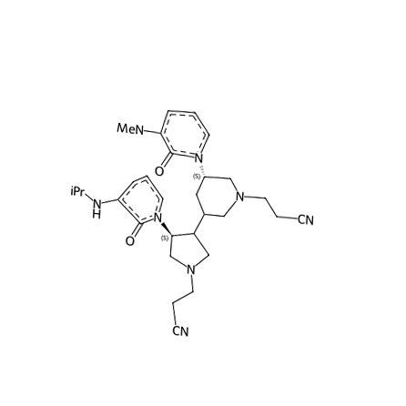 CNc1cccn([C@H]2CC(C3CN(CCC#N)C[C@H]3n3cccc(NC(C)C)c3=O)CN(CCC#N)C2)c1=O